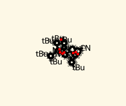 CC(C)(C)c1cc(-c2nc(-c3cc(C(C)(C)C)cc(C(C)(C)C)c3)nc(-c3ccc(-n4c5ccccc5c5cc(C(C)(C)C)ccc54)c(C4=CC5=CC=CC(C#N)=CC5=CC=C4n4c5ccccc5c5cc(C(C)(C)C)ccc54)c3)n2)cc(C(C)(C)C)c1